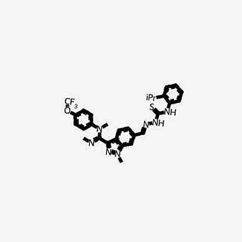 C/N=C(/c1nn(C)c2cc(/C=N/NC(=S)Nc3ccccc3C(C)C)ccc12)N(C)c1ccc(OC(F)(F)F)cc1